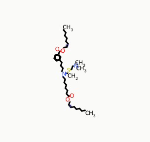 C=C(SCCN(C)C)N(CCCCCCCC(=O)OC/C=C\CCCCCC)CCCCc1cccc(C(=O)OC/C=C\CCCCCC)c1